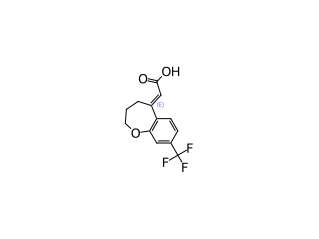 O=C(O)/C=C1\CCCOc2cc(C(F)(F)F)ccc21